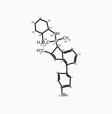 CC1=Cc2c(-c3ccc(C(C)(C)C)cc3)cccc2C1[Si](C)(C)NC1CCCCC1C